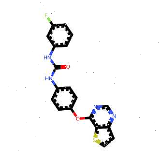 O=C(Nc1ccc(Oc2ncnc3ccsc23)cc1)Nc1cccc(F)c1